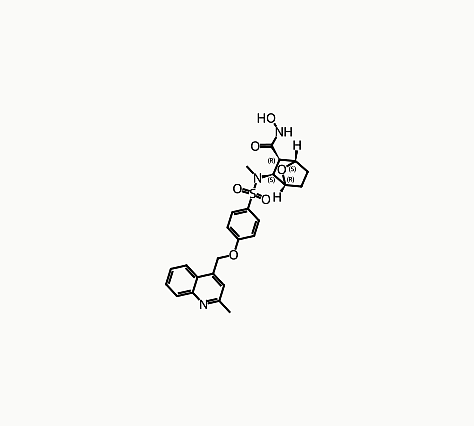 Cc1cc(COc2ccc(S(=O)(=O)N(C)[C@H]3[C@@H](C(=O)NO)[C@@H]4CC[C@H]3O4)cc2)c2ccccc2n1